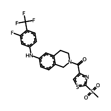 CS(=O)(=O)c1nc(C(=O)N2CCc3cc(Nc4ccc(C(F)(F)F)c(F)c4)ccc3C2)cs1